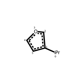 CC(C)c1[c]occ1